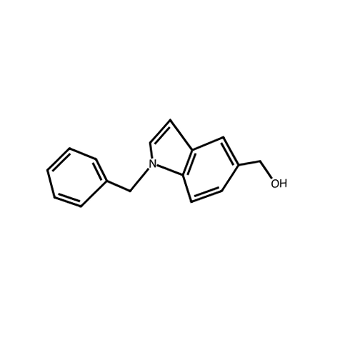 OCc1ccc2c(ccn2Cc2ccccc2)c1